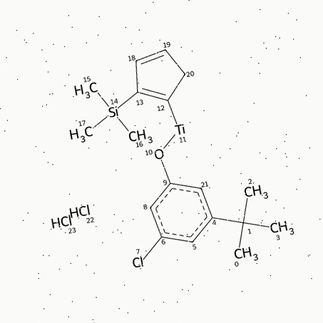 CC(C)(C)c1cc(Cl)cc([O][Ti][C]2=C([Si](C)(C)C)C=CC2)c1.Cl.Cl